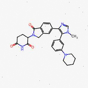 Cn1cnc(-c2ccc3c(c2)CN(C2CCC(=O)NC2=O)C3=O)c1-c1cccc(N2CCCCC2)c1